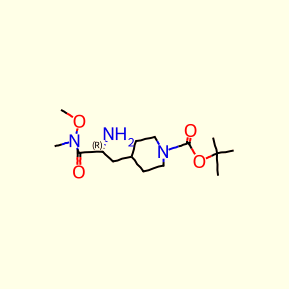 CON(C)C(=O)[C@H](N)CC1CCN(C(=O)OC(C)(C)C)CC1